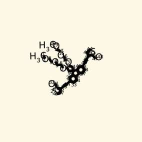 COCCOCCOCCC1(CCOCCOCCOC)c2cc(C#Cc3ccsc3C=O)ccc2-c2ccc(C#Cc3ccsc3C=O)cc21